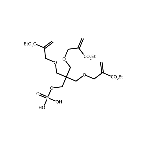 C=C(COCC(COCC(=C)C(=O)OCC)(COCC(=C)C(=O)OCC)COP(=O)(O)O)C(=O)OCC